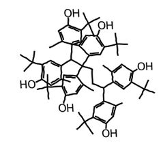 Cc1cc(O)c(C(C)(C)C)cc1C(CCC(c1cc(C(C)(C)C)c(O)cc1C)(c1cc(C(C)(C)C)c(O)cc1C)C(c1cc(C(C)(C)C)c(O)cc1C)c1cc(C(C)(C)C)c(O)cc1C)c1cc(C(C)(C)C)c(O)cc1C